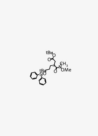 CON(C)C(=O)[C@@H](CCCO[Si](c1ccccc1)(c1ccccc1)C(C)(C)C)CC(=O)OC(C)(C)C